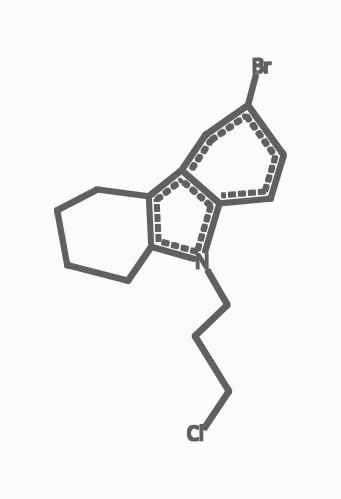 ClCCCn1c2c(c3cc(Br)ccc31)CCCC2